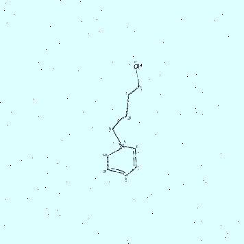 OCCCCN1C=C[C]=CC1